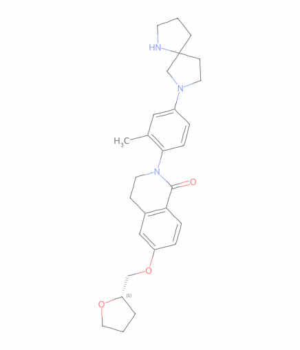 Cc1cc(N2CCC3(CCCN3)C2)ccc1N1CCc2cc(OC[C@@H]3CCCO3)ccc2C1=O